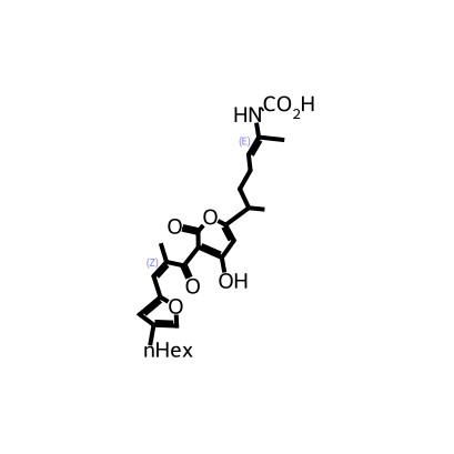 CCCCCCc1coc(/C=C(/C)C(=O)c2c(O)cc(C(C)CC/C=C(\C)NC(=O)O)oc2=O)c1